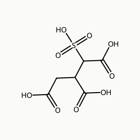 O=C(O)CC(C(=O)O)C(C(=O)O)S(=O)(=O)O